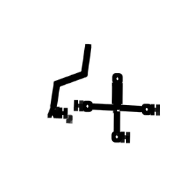 CC[CH2][AlH2].O=P(O)(O)O